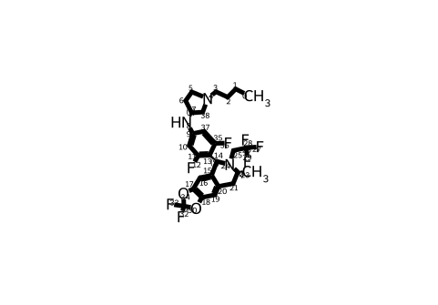 CCCCN1CC[C@H](Nc2cc(F)c([C@@H]3c4cc5c(cc4C[C@@H](C)N3CC(F)(F)F)OC(F)(F)O5)c(F)c2)C1